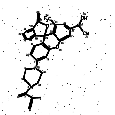 C=C(C)C(=C)N1CCN(c2ccc3c(c2)Oc2cc(B(O)C#N)cc(C(F)(F)F)c2C32OC(=C)c3ccccc32)CC1